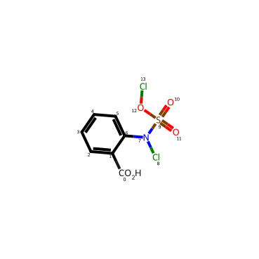 O=C(O)c1ccccc1N(Cl)S(=O)(=O)OCl